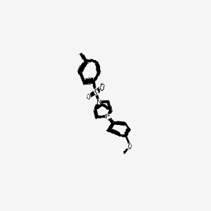 COc1ccc(P2CC3CC2CN3S(=O)(=O)c2ccc(C)cc2)cc1